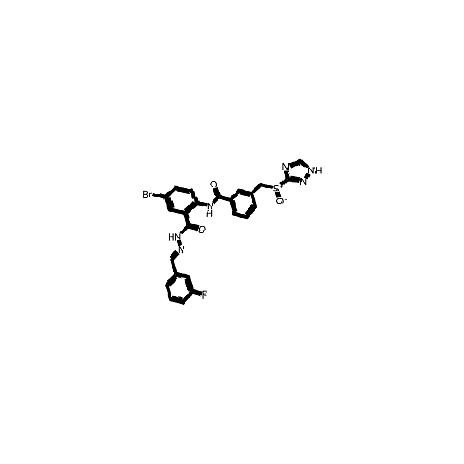 O=C(Nc1ccc(Br)cc1C(=O)NN=Cc1cccc(F)c1)c1cccc(C[S+]([O-])c2nc[nH]n2)c1